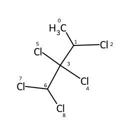 CC(Cl)C(Cl)(Cl)C(Cl)Cl